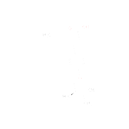 CC#C[C@H](CC(=O)O)c1ccc(OC[C@H](C)C(C)C)cc1